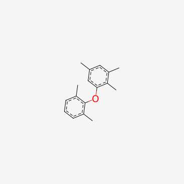 Cc1cc(C)c(C)c(Oc2c(C)cccc2C)c1